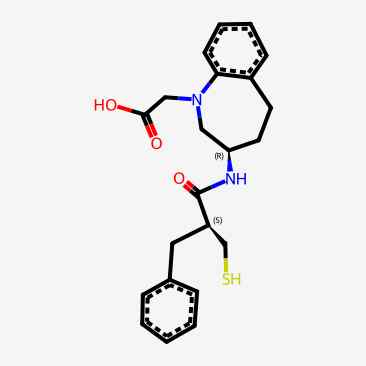 O=C(O)CN1C[C@H](NC(=O)[C@@H](CS)Cc2ccccc2)CCc2ccccc21